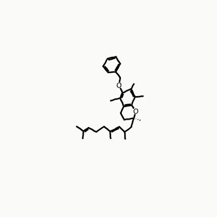 CC(C)=CCC/C(C)=C/C(C)C[C@@]1(C)CCc2c(C)c(OCc3ccccc3)c(C)c(C)c2O1